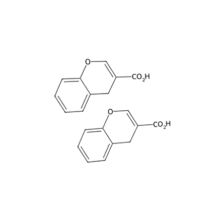 O=C(O)C1=COc2ccccc2C1.O=C(O)C1=COc2ccccc2C1